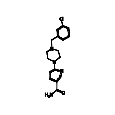 NC(=O)c1ccc(N2CCN(Cc3cccc(Cl)c3)CC2)nc1